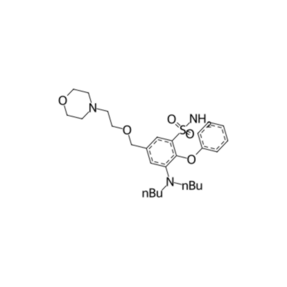 CCCCN(CCCC)c1cc(COCCN2CCOCC2)cc(S(N)(=O)=O)c1Oc1ccccc1